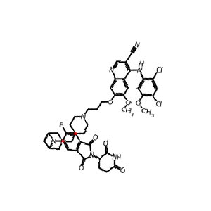 COc1cc(Nc2c(C#N)cnc3cc(OCCCN4CCC(CN5CC6CC(C5)N6c5cc6c(cc5F)C(=O)N(C5CCC(=O)NC5=O)C6=O)CC4)c(OC)cc23)c(Cl)cc1Cl